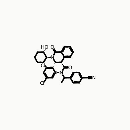 CC(NC(=O)[C@@H]1c2ccccc2C(=O)N([C@H]2CCCC[C@@H]2O)[C@H]1c1ccc(Cl)cc1Cl)c1ccc(C#N)cc1